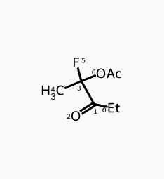 CCC(=O)C(C)(F)OC(C)=O